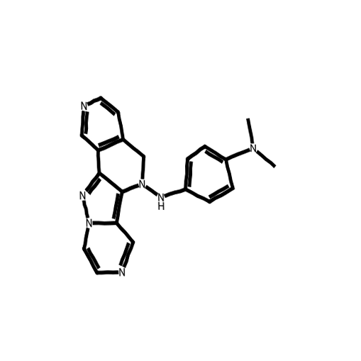 CN(C)c1ccc(NN2Cc3ccncc3-c3nn4ccncc4c32)cc1